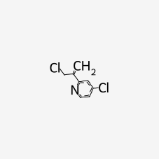 C=C(CCl)c1cc(Cl)ccn1